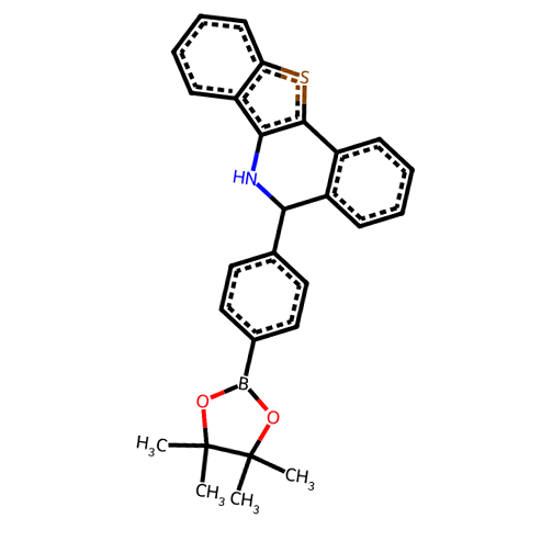 CC1(C)OB(c2ccc(C3Nc4c(sc5ccccc45)-c4ccccc43)cc2)OC1(C)C